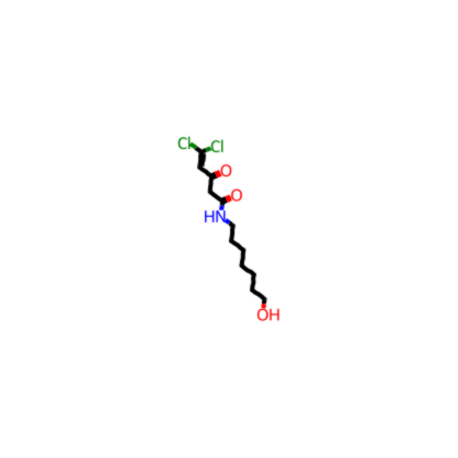 O=C(C=C(Cl)Cl)CC(=O)NCCCCCCCO